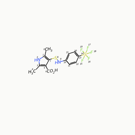 Cc1[nH]c(C)c(C(=O)O)c1SNc1ccc(S(F)(F)(F)(F)F)cc1